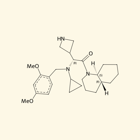 COc1ccc(CN(C2CC2)[C@@H](C(=O)N2CCC[C@H]3CCCC[C@@H]32)C2CNC2)c(OC)c1